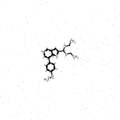 CCOC(OCC)c1cc2cncc(-c3ccc(OC)cc3)c2o1